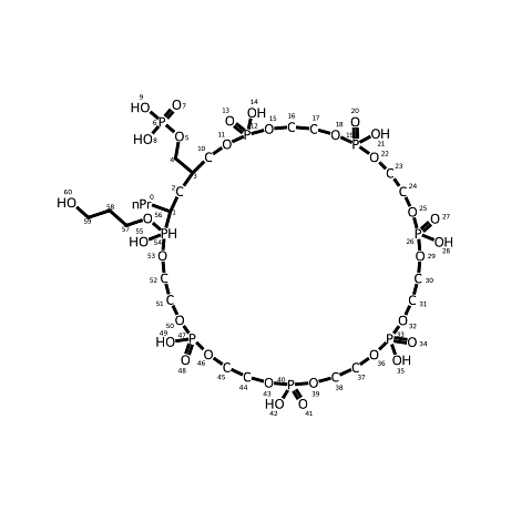 CCCC1CC(COP(=O)(O)O)COP(=O)(O)OCCOP(=O)(O)OCCOP(=O)(O)OCCOP(=O)(O)OCCOP(=O)(O)OCCOP(=O)(O)OCCO[PH]1(O)OCCCO